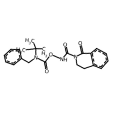 CC(C)(C)N(Cc1ccccc1)C(=O)ONC(=O)N1CCc2ccccc2C1=O